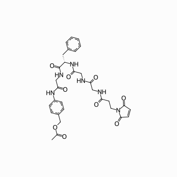 CC(=O)OCc1ccc(NC(=O)CNC(=O)[C@H](Cc2ccccc2)NC(=O)CNC(=O)CNC(=O)CCN2C(=O)C=CC2=O)cc1